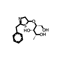 C[C@@H](O)[C@H](O)[C@@H](CO)OC1CN=C(Cc2ccccc2)S1